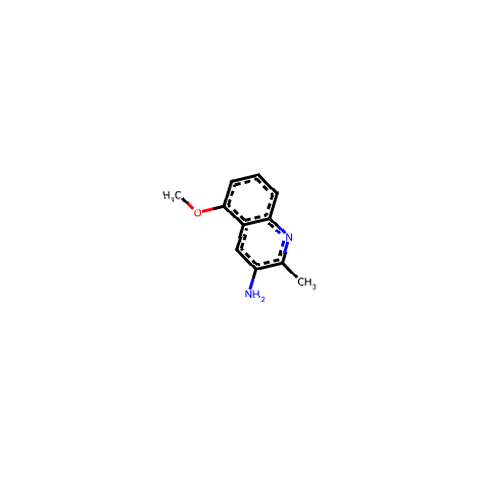 COc1cccc2nc(C)c(N)cc12